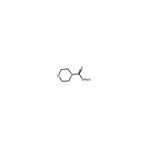 CCCCCC(=S)N1CCOCC1